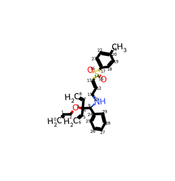 C=CCOC(C=C)(C=C)[C@@H](NCC=CS(=O)(=O)c1ccc(C)cc1)c1ccccc1